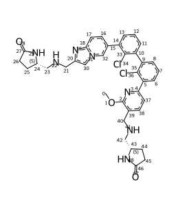 COc1nc(-c2cccc(-c3cccc(-c4ccc5nc(CNC[C@@H]6CCC(=O)N6)cn5c4)c3Cl)c2Cl)ccc1CNC[C@@H]1CCC(=O)N1